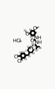 COc1cc(NC(=O)N[C@@H](CN2CCC(Cc3ccc(Cl)c(Cl)c3)CC2)C(C)C)cc(OC)c1.Cl